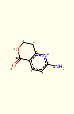 Nc1ccc2c(n1)CCOC2=O